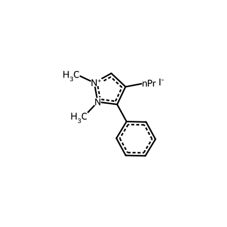 CCCc1c[n+](C)n(C)c1-c1ccccc1.[I-]